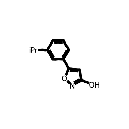 CC(C)c1cccc(-c2cc(O)no2)c1